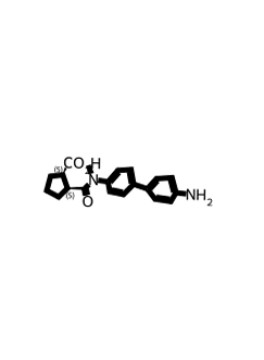 CN(C(=O)[C@H]1CCC[C@@H]1C(=O)O)c1ccc(-c2ccc(N)cc2)cc1